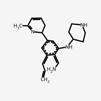 C=C/C=c1/cc(C2CC=CC(C)=N2)cc(NC2CCNCC2)/c1=C/N